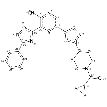 Nc1ncc(-c2cnn(C3CCN(C(=O)C4CC4)CC3)c2)cc1-c1nc(-c2ccccc2)no1